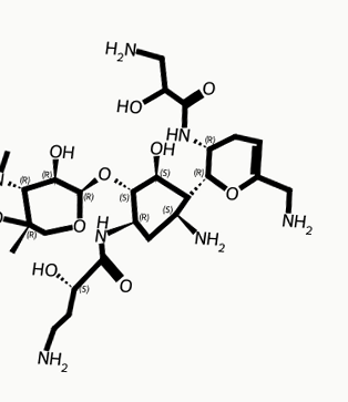 CN[C@@H]1[C@@H](O)[C@@H](O[C@H]2[C@H](NC(=O)[C@@H](O)CCN)C[C@H](N)C([C@H]3OC(CN)=CC[C@H]3NC(=O)C(O)CN)[C@@H]2O)OC[C@]1(C)O